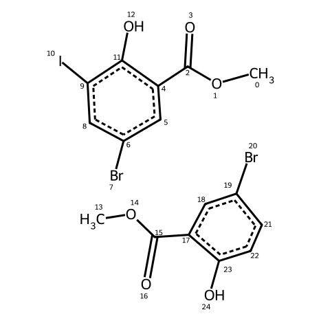 COC(=O)c1cc(Br)cc(I)c1O.COC(=O)c1cc(Br)ccc1O